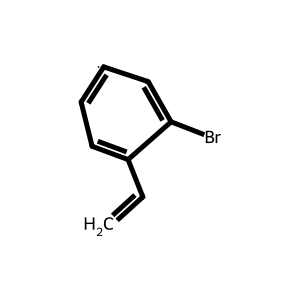 C=Cc1cc[c]cc1Br